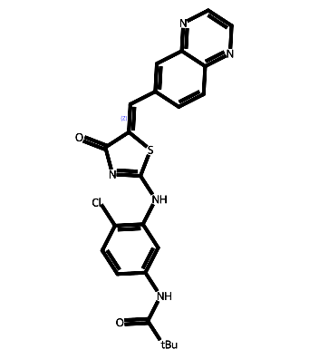 CC(C)(C)C(=O)Nc1ccc(Cl)c(NC2=NC(=O)/C(=C/c3ccc4nccnc4c3)S2)c1